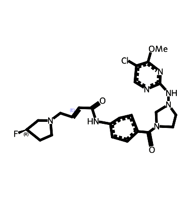 COc1nc(NN2CCN(C(=O)c3ccc(NC(=O)/C=C/CN4CC[C@@H](F)C4)cc3)C2)ncc1Cl